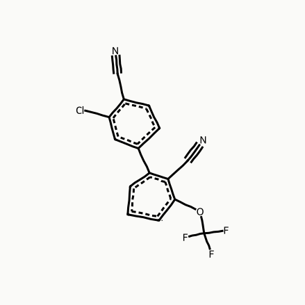 N#Cc1ccc(-c2cc[c]c(OC(F)(F)F)c2C#N)cc1Cl